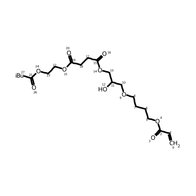 C=CC(=O)OCCCCOCC(O)COC(=O)CCC(=O)OCCOC(=O)C(C)CC